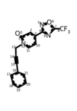 O=c1cc(-c2noc(C(F)(F)F)n2)ccn1CC#Cc1ccccc1